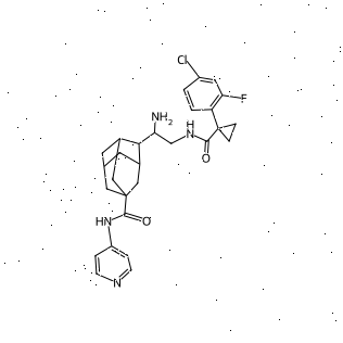 NC(CNC(=O)C1(c2ccc(Cl)cc2F)CC1)C1C2CC3CC1CC(C(=O)Nc1ccncc1)(C3)C2